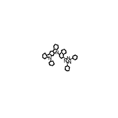 c1ccc(-c2nc(-c3ccccc3)nc(-c3ccc(-n4c5ccccc5c5cc6c7ccccc7n(-c7ccccc7)c6cc54)c4ccccc34)n2)cc1